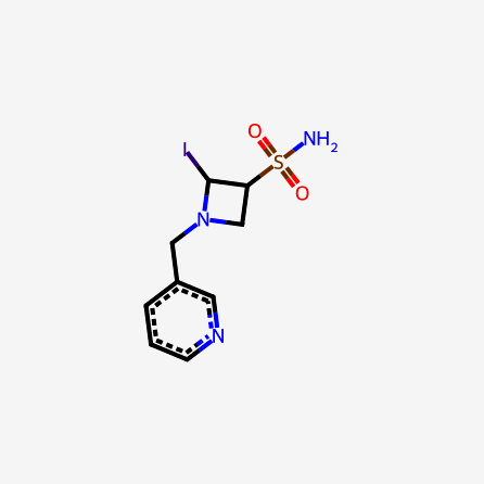 NS(=O)(=O)C1CN(Cc2cccnc2)C1I